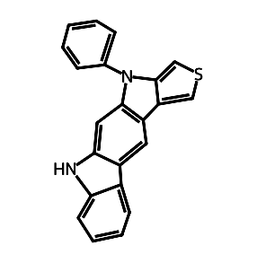 c1ccc(-n2c3cscc3c3cc4c(cc32)[nH]c2ccccc24)cc1